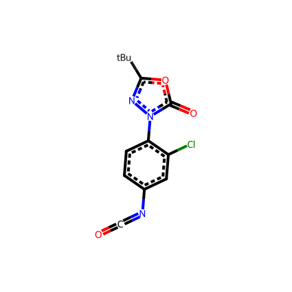 CC(C)(C)c1nn(-c2ccc(N=C=O)cc2Cl)c(=O)o1